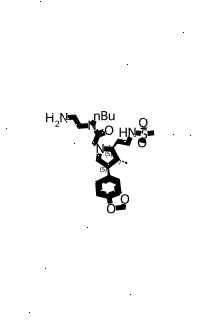 CCCCN(CCN)C(=O)CN1C[C@H](c2ccc3c(c2)OCO3)[C@@H](C)[C@@H]1CCNS(C)(=O)=O